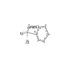 CCCCCCC(CC)(CC)c1[c]cccc1